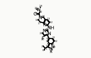 CC(C)c1c2cc(-c3nc(Nc4ccc5c(n4)CCN(C(=O)CN(C)C)C5)ncc3F)ccc2nn1C